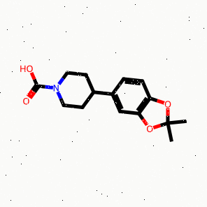 CC1(C)Oc2ccc(C3CCN(C(=O)O)CC3)cc2O1